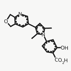 Cc1cc(-c2cnc3c(c2)COC3)c(C)n1-c1ccc(C(=O)O)c(O)c1